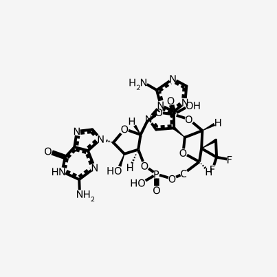 Nc1nc2c(ncn2[C@@H]2O[C@@H]3COP(=O)(O)O[C@H]4[C@H](c5cnn6c(N)ncnc56)O[C@H](COP(=O)(O)O[C@H]3[C@H]2O)[C@]42CC2(F)F)c(=O)[nH]1